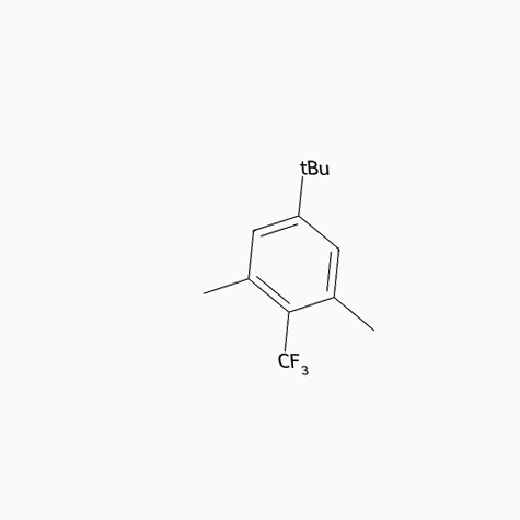 Cc1cc(C(C)(C)C)cc(C)c1C(F)(F)F